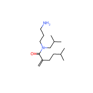 C=C(CCC(C)C)C(=O)N(CCCN)CC(C)C